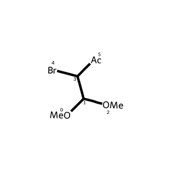 COC(OC)C(Br)C(C)=O